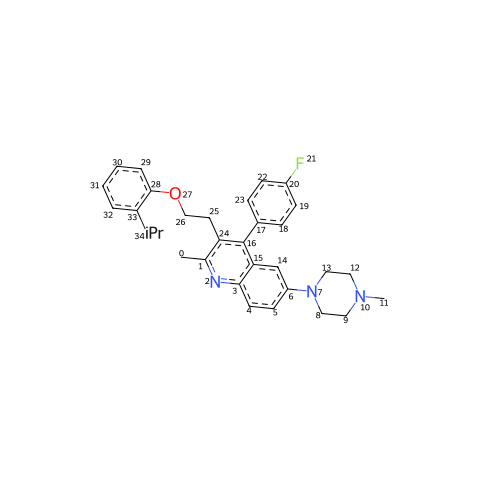 Cc1nc2ccc(N3CCN(C)CC3)cc2c(-c2ccc(F)cc2)c1CCOc1ccccc1C(C)C